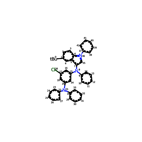 CC(C)(C)c1ccc2c(c1)c(N(c1ccccc1)c1cc(Cl)cc(N(c3ccccc3)c3ccccc3)c1)cn2-c1ccccc1